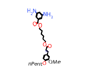 CCCCCOc1ccc(/C=C/C(=O)OCCCCCCOC(=O)c2cc(N)cc(N)c2)cc1OC